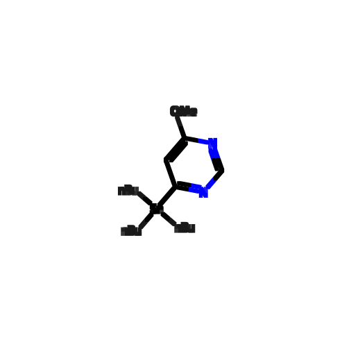 CCC[CH2][Sn]([CH2]CCC)([CH2]CCC)[c]1cc(OC)ncn1